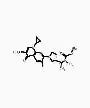 C[C@@H]([C@H]1CCN(c2nc3c(cc2F)c(=O)c(C(=O)O)cn3C2CC2)C1)N(C)C(=O)OC(C)(C)C